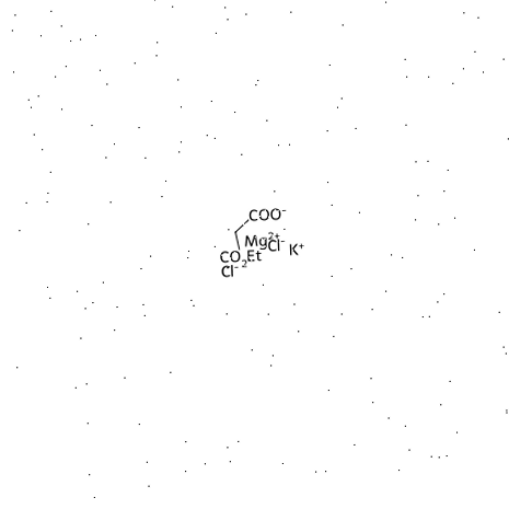 CCOC(=O)CC(=O)[O-].[Cl-].[Cl-].[K+].[Mg+2]